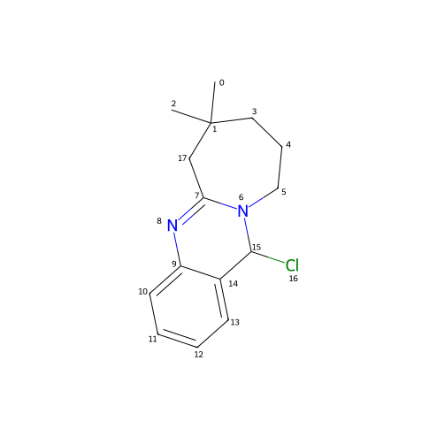 CC1(C)CCCN2C(=Nc3ccccc3C2Cl)C1